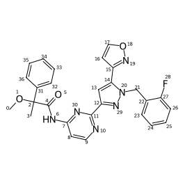 COC(C)(C(=O)Nc1ccnc(-c2cc(-c3ccon3)n(Cc3ccccc3F)n2)n1)c1ccccc1